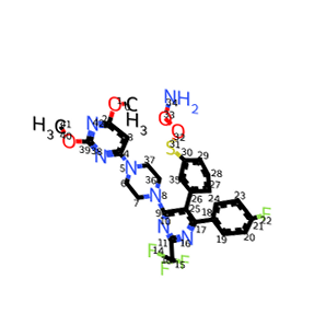 COc1cc(N2CCN(c3nc(C(F)(F)F)nc(-c4ccc(F)cc4)c3-c3cccc(SOON)c3)CC2)nc(OC)n1